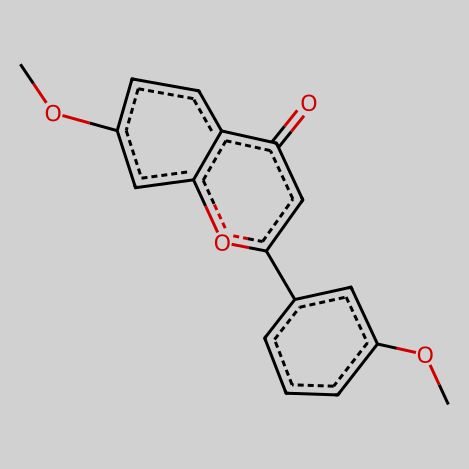 COc1cccc(-c2cc(=O)c3ccc(OC)cc3o2)c1